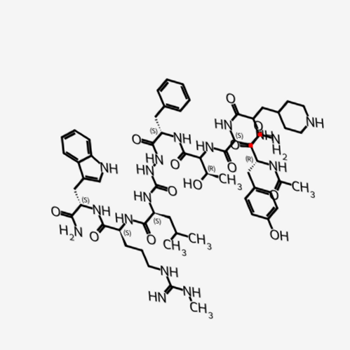 CNC(=N)NCCC[C@H](NC(=O)[C@H](CC(C)C)NC(=O)NNC(=O)[C@H](Cc1ccccc1)NC(=O)C(NC(=O)[C@H](CC(N)=O)NC(=O)C(CC1CCNCC1)NC(=O)[C@@H](Cc1ccc(O)cc1)NC(C)=O)[C@@H](C)O)C(=O)N[C@@H](Cc1c[nH]c2ccccc12)C(N)=O